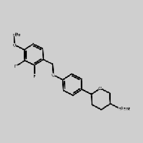 CCCCCC1CCC(c2ccc(OCc3ccc(OCCCC)c(F)c3F)cc2)OC1